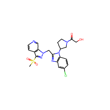 CS(=O)(=O)c1nn(Cc2nc3cc(Cl)ccc3n2C2CCN(C(=O)CO)C2)c2cnccc12